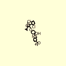 CN(C)C(=O)c1ccc2nc(C3(O)CCC(OCc4c(-c5c(Cl)cccc5Cl)noc4C4CC4)CC3)sc2c1